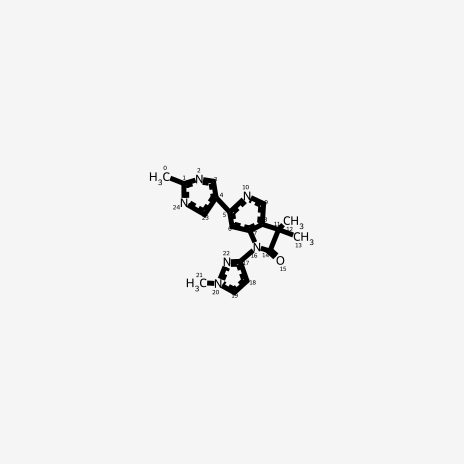 Cc1ncc(-c2cc3c(cn2)C(C)(C)C(=O)N3c2ccn(C)n2)cn1